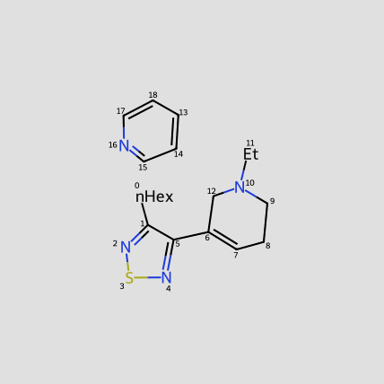 CCCCCCc1nsnc1C1=CCCN(CC)C1.c1ccncc1